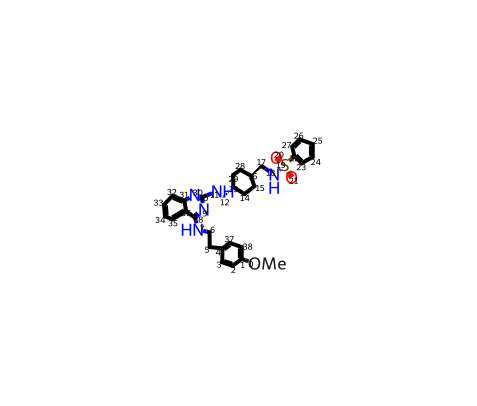 COc1ccc(CCNc2nc(NC[C@H]3CC[C@H](CNS(=O)(=O)c4ccccc4)CC3)nc3ccccc23)cc1